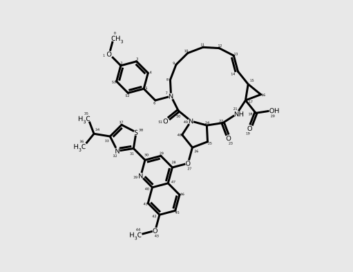 COc1ccc(CN2CCCCC/C=C/C3CC3(C(=O)O)NC(=O)C3CC(Oc4cc(-c5nc(C(C)C)cs5)nc5cc(OC)ccc45)CN3C2=O)cc1